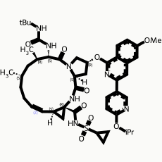 COc1ccc2c(O[C@@H]3C[C@H]4C(=O)N[C@]5(C(=O)NS(=O)(=O)C6CC6)C[C@H]5/C=C\CC[C@H](C)C[C@@H](C)[C@H](NC(=O)NC(C)(C)C)C(=O)N4C3)nc(-c3ccc(OC(C)C)nc3)cc2c1